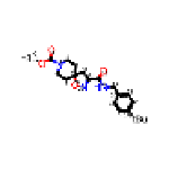 CC(C)(C)OC(=O)N1CCC2(CC1)CC(C(=O)NCc1ccc(C(C)(C)C)cc1)=NO2